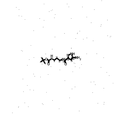 CC(C)(C)OC(=O)NCCCNC(=O)c1cc(N)[nH]n1